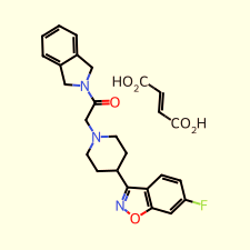 O=C(CN1CCC(c2noc3cc(F)ccc23)CC1)N1Cc2ccccc2C1.O=C(O)C=CC(=O)O